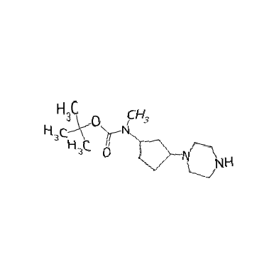 CN(C(=O)OC(C)(C)C)C1CCC(N2CCNCC2)C1